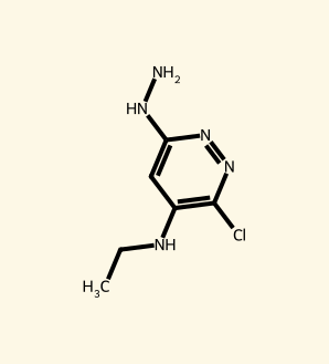 CCNc1cc(NN)nnc1Cl